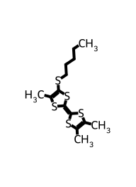 CCCCCSC1=C(C)SC(=C2SC(C)=C(C)S2)S1